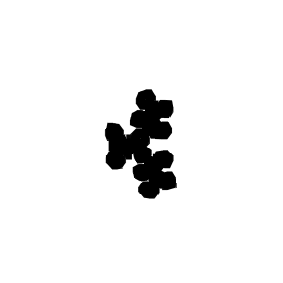 c1ccc(-c2nc(-c3ccccc3)nc(-n3c4ccc(-n5c6ccccc6c6c7c8ccccc8n(-c8ccccc8)c7c7ccccc7c65)cc4c4cc(-n5c6ccccc6c6c7c8ccccc8n(-c8ccccc8)c7c7ccccc7c65)ccc43)n2)cc1